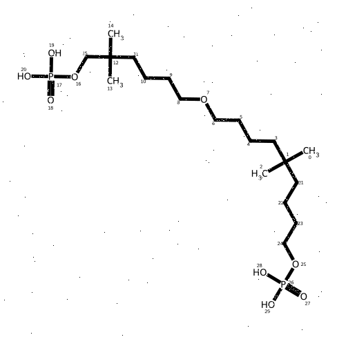 CC(C)(CCCCOCCCCC(C)(C)COP(=O)(O)O)CCCCOP(=O)(O)O